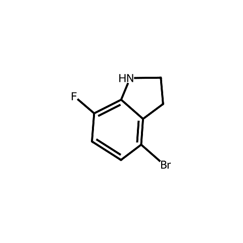 Fc1ccc(Br)c2c1NCC2